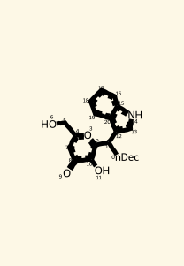 CCCCCCCCCCC(c1oc(CO)cc(=O)c1O)c1c[nH]c2ccccc12